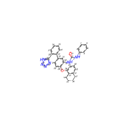 O=C(Nc1ccccc1)Nc1cc(-c2ccccc2-c2nnn[nH]2)ccc1Oc1cccc2c1CCCC2